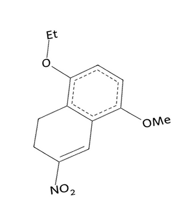 CCOc1ccc(OC)c2c1CCC([N+](=O)[O-])=C2